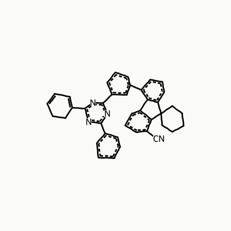 N#Cc1cccc2c1C1(CCCCC1)c1cccc(-c3cccc(-c4nc(C5=CC=CCC5)nc(-c5ccccc5)n4)c3)c1-2